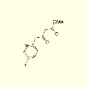 COC(=O)CC(=O)Cc1ccc(F)cn1